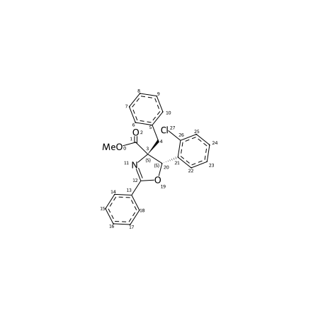 COC(=O)[C@@]1(Cc2ccccc2)N=C(c2ccccc2)O[C@H]1c1ccccc1Cl